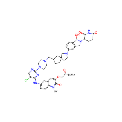 CNC(=O)COc1cc2cc(Nc3nc(N4CCN(CC5CCC6(CCN(c7ccc8c(c7)CN(C7CCC(=O)NC7=O)C8O)C6)C5)CC4)ncc3Cl)ccc2n(C(C)C)c1=O